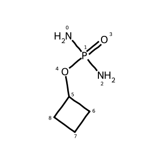 NP(N)(=O)OC1CCC1